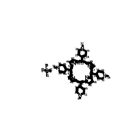 CN1C=CC(c2c3nc(c(C4=CCN(C)C=C4)c4ccc([nH]4)c(C4=CCN(C)C=C4)c4nc(c(C5=CCN(C)C=C5)c5ccc2[nH]5)C=C4)C=C3)=CC1.F[B-](F)(F)F